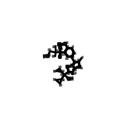 COc1ccc(-c2c(C)nc3sc(C(O)(C4CC4)C4CC4)nn23)cc1S(=O)(=O)C(C)(C)CO